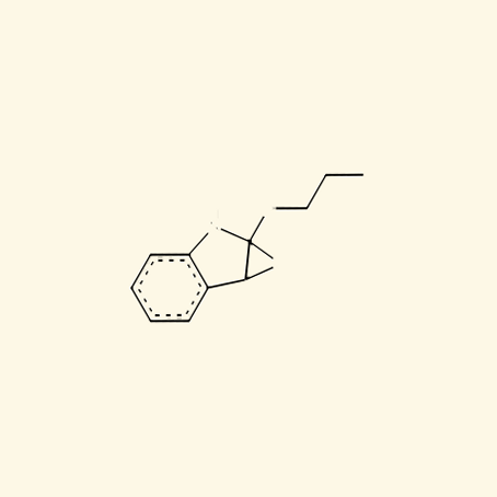 CCCOC12Nc3ccccc3C1O2